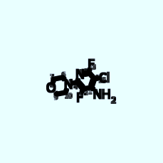 Nc1c(F)c(N2CCOCC2)nc(F)c1Cl